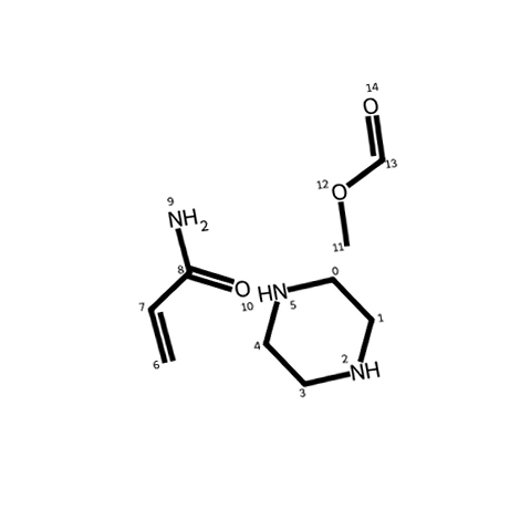 C1CNCCN1.C=CC(N)=O.COC=O